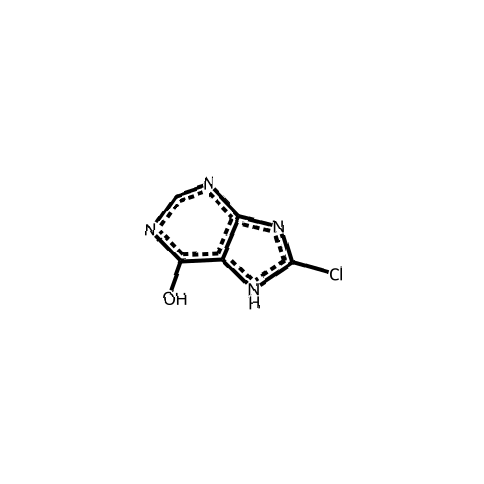 Oc1ncnc2nc(Cl)[nH]c12